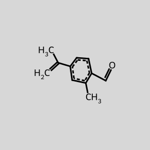 C=C(C)c1ccc(C=O)c(C)c1